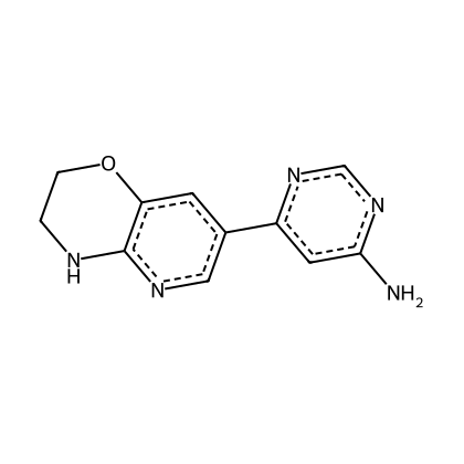 Nc1cc(-c2cnc3c(c2)OCCN3)ncn1